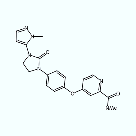 CNC(=O)c1cc(Oc2ccc(N3CCN(c4ccnn4C)C3=O)cc2)ccn1